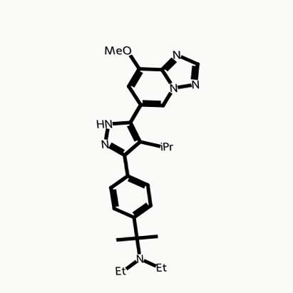 CCN(CC)C(C)(C)c1ccc(-c2n[nH]c(-c3cc(OC)c4ncnn4c3)c2C(C)C)cc1